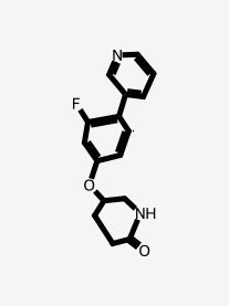 O=C1CCC(Oc2c[c]c(-c3cccnc3)c(F)c2)CN1